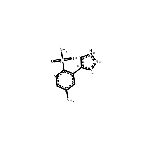 Nc1ccc(S(N)(=O)=O)c(-c2c[nH]nn2)c1